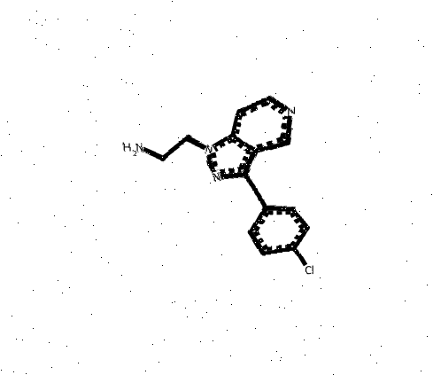 NCCn1nc(-c2ccc(Cl)cc2)c2cnccc21